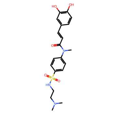 CN(C)CCNS(=O)(=O)c1ccc(N(C)C(=O)/C=C/c2ccc(O)c(O)c2)cc1